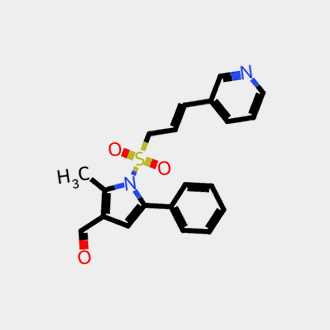 Cc1c(C=O)cc(-c2ccccc2)n1S(=O)(=O)CC=Cc1cccnc1